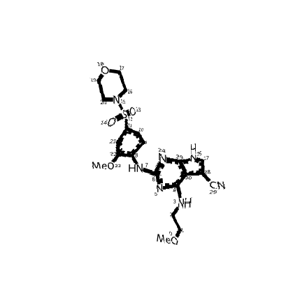 COCCNc1nc(Nc2ccc(S(=O)(=O)N3CCOCC3)cc2OC)nc2[nH]cc(C#N)c12